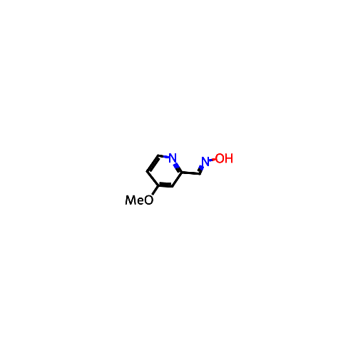 COc1ccnc(/C=N/O)c1